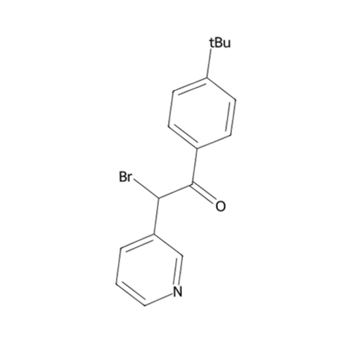 CC(C)(C)c1ccc(C(=O)C(Br)c2cccnc2)cc1